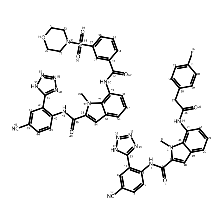 Cn1c(C(=O)Nc2ccc(C#N)cc2-c2nnn[nH]2)cc2cccc(NC(=O)Cc3ccc(F)cc3)c21.Cn1c(C(=O)Nc2ccc(C#N)cc2-c2nnn[nH]2)cc2cccc(NC(=O)c3cccc(S(=O)(=O)N4CCOCC4)c3)c21